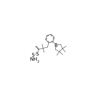 C=C(SSN)C(C)(C)Cc1ccccc1B1CC(C)(C)C(C)(C)C1